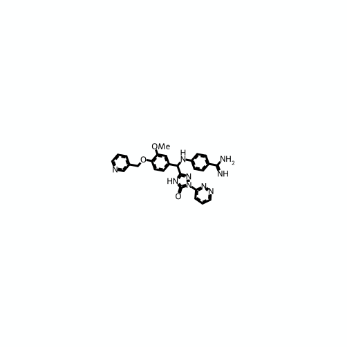 COc1cc(C(Nc2ccc(C(=N)N)cc2)c2nn(-c3cccnn3)c(=O)[nH]2)ccc1OCc1cccnc1